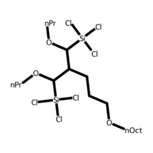 CCCCCCCCOCCCC(C(OCCC)[Si](Cl)(Cl)Cl)C(OCCC)[Si](Cl)(Cl)Cl